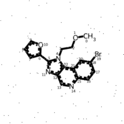 COCCn1c(-c2ccco2)nc2cnc3ccc(Br)cc3c21